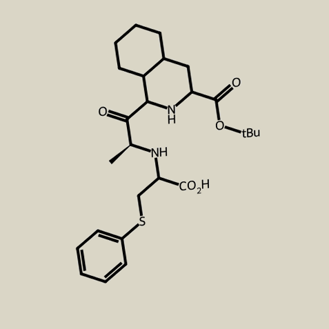 C[C@H](NC(CSc1ccccc1)C(=O)O)C(=O)C1NC(C(=O)OC(C)(C)C)CC2CCCCC21